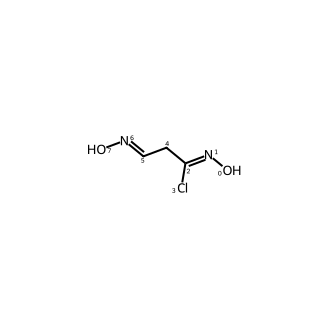 ON=C(Cl)C/C=N/O